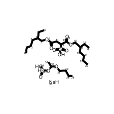 CCCCC(CC)COC(=O)CC(C(=O)OCC(CC)CCCC)S(=O)(=O)O.CCCCOC(C)O[PH](=O)O.[NaH]